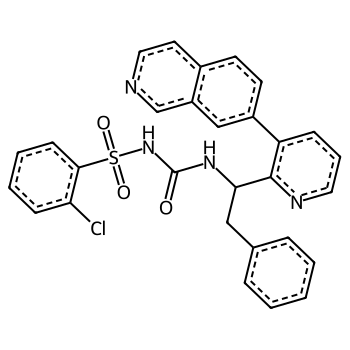 O=C(NC(Cc1ccccc1)c1ncccc1-c1ccc2ccncc2c1)NS(=O)(=O)c1ccccc1Cl